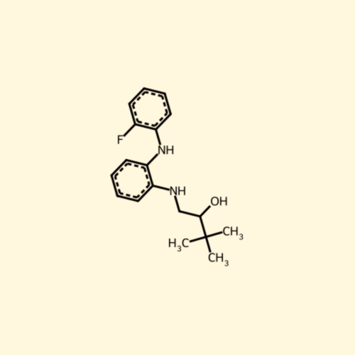 CC(C)(C)C(O)CNc1ccccc1Nc1ccccc1F